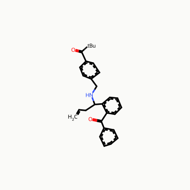 C=CCC(NCc1ccc(C(=O)C(C)(C)C)cc1)c1ccccc1C(=O)c1ccccc1